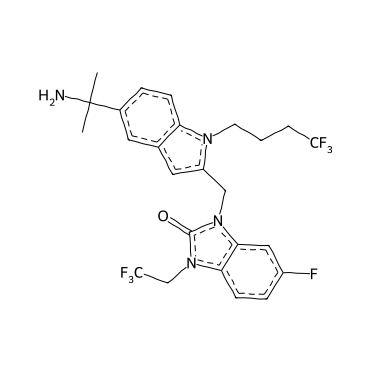 CC(C)(N)c1ccc2c(c1)cc(Cn1c(=O)n(CC(F)(F)F)c3ccc(F)cc31)n2CCCC(F)(F)F